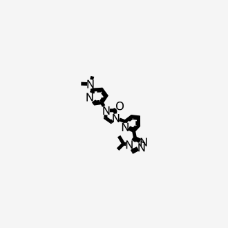 CC(C)n1cnnc1-c1cccc(N2CCN(c3ccc(N(C)C)nc3)C2=O)n1